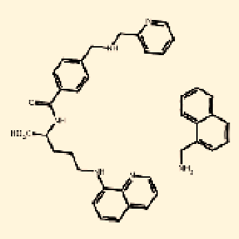 NCc1cccc2ccccc12.O=C(N[C@@H](CCCNc1cccc2cccnc12)C(=O)O)c1ccc(CNCc2ccccn2)cc1